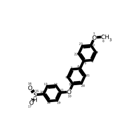 COc1ccc(-c2ccc(Oc3ccc([SH](=O)=O)cc3)cc2)cc1